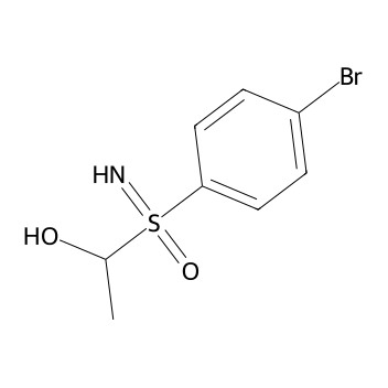 CC(O)S(=N)(=O)c1ccc(Br)cc1